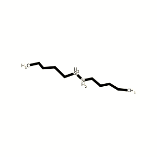 CCCCC[SiH2][SiH2]CCCCC